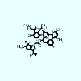 CSNc1nn(CC(F)(F)F)c2c(-n3c(C(Cc4cc(F)cc(F)c4)NC(=O)Cn4nc(C(F)F)c5c4C(F)(F)C(C)C5)nc(-c4nc(C)cc(C)n4)cc3=O)ccc(Cl)c12